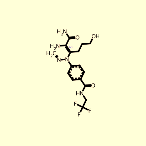 C=NN(/C(CCCO)=C(\N)C(N)=O)c1ccc(C(=O)NCC(F)(F)F)cc1